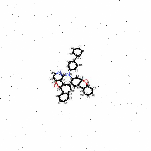 c1ccc(-c2ccc(N(c3ccc4c(c3)oc3ccccc34)c3nccc4oc5c6ccccc6ccc5c34)cc2)cc1